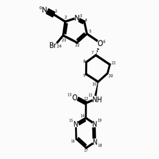 N#Cc1ncc(O[C@H]2CC[C@H](NC(=O)c3nccnn3)CC2)cc1Br